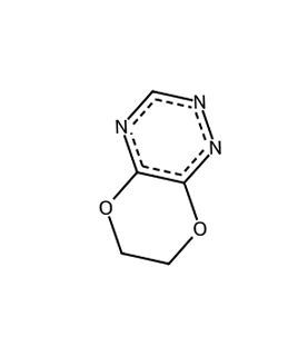 c1nnc2c(n1)OCCO2